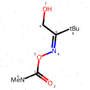 CNC(=O)ON=C(CO)C(C)(C)C